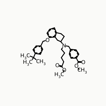 COC(=O)CCCCN(Cc1ccc(C(=O)OC)cc1)C1CCc2cccc(OCc3ccc(C(C)(C)C)cc3)c2C1